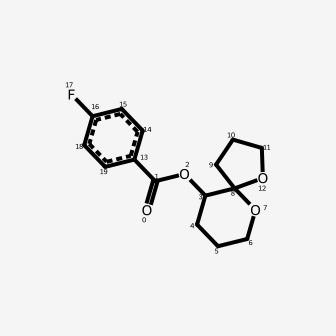 O=C(OC1CCCOC12CCCO2)c1ccc(F)cc1